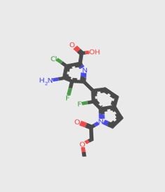 COCC(=O)n1ccc2ccc(-c3nc(C(=O)O)c(Cl)c(N)c3F)c(F)c21